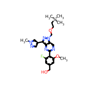 COc1cc(CO)cc(F)c1-c1ncc2c(n1)c(-c1cnn(C)c1)nn2COCC[Si](C)(C)C